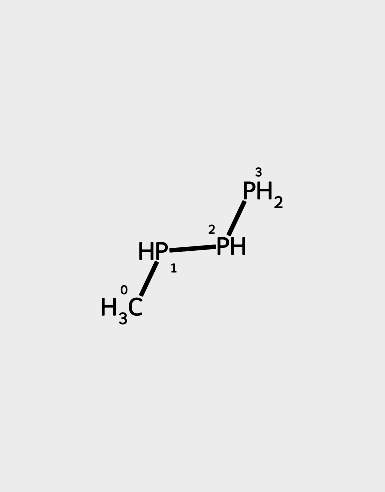 CPPP